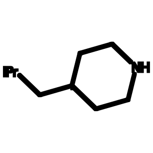 CC(C)C[C]1CCNCC1